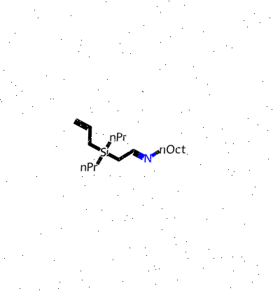 C=CC[Si](CC=NCCCCCCCC)(CCC)CCC